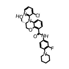 O=C(Nc1ccc(N2CCCCC2)c(F)c1)c1cccc2c1OC[C@H](CO)N2c1ncccc1Cl